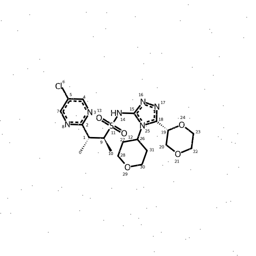 C[C@H](c1ncc(Cl)cn1)[C@H](C)S(=O)(=O)Nc1nnc([C@H]2COCCO2)n1C1CCOCC1